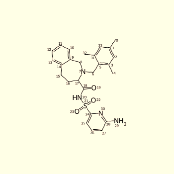 Cc1cc(C)c(CN2Cc3ccccc3CCC2C(=O)NS(=O)(=O)c2cccc(N)n2)c(C)c1